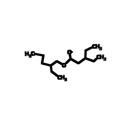 CCCC(CC)COC([O])CC(CC)CC